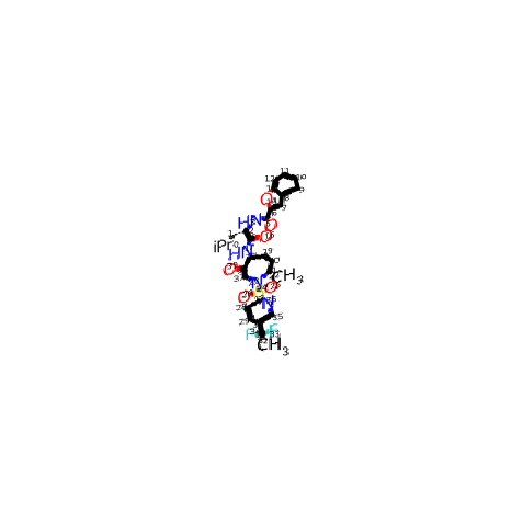 CC(C)C[C@H](NC(=O)c1cc2ccccc2o1)C(=O)N[C@H]1CC[C@@H](C)N(S(=O)(=O)c2ccc(C(C)(F)F)cn2)CC1=O